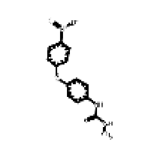 CNC(=S)Nc1ccc(Oc2ccc([N+](=O)[O-])cc2)cc1